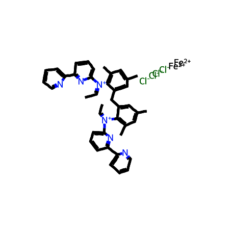 CC=[N+](c1cccc(-c2ccccn2)n1)c1c(C)cc(C)cc1Cc1cc(C)cc(C)c1[N+](=CC)c1cccc(-c2ccccn2)n1.[Cl-].[Cl-].[Cl-].[Cl-].[Fe+2].[Fe+2]